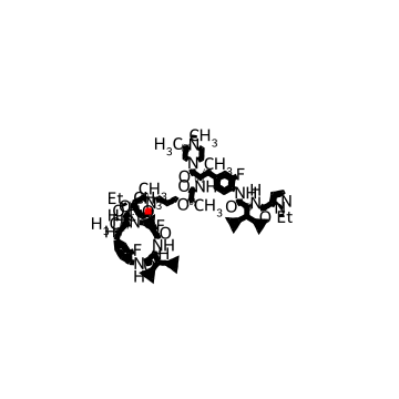 CCO[C@@H](C)C(=O)[N+]1(C)C2CC2(F)C(=O)N[C@@H](C(C2CC2)C2CC2)C(=O)Nc2ccc(cc2F)[C@H](C)[C@@H]1C(=O)N1CCN(CCCO[C@@H](C)C(=O)N[C@@H](C(=O)N2CCN(C)[C@H](C)C2)[C@@H](C)c2ccc(NC(=O)[C@@H](NC(=O)c3ccnn3CC)C(C3CC3)C3CC3)c(F)c2)[C@H](C)C1